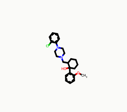 COc1ccccc1C1(O)CCCCC1CN1CCN(c2ccccc2Cl)CC1